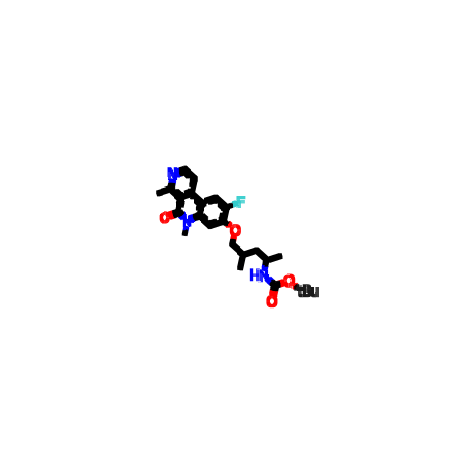 Cc1nccc2c1c(=O)n(C)c1cc(OCC(C)CC(C)NC(=O)OC(C)(C)C)c(F)cc21